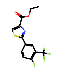 CCOC(=O)c1csc(-c2ccc(F)c(C(F)(F)F)c2)n1